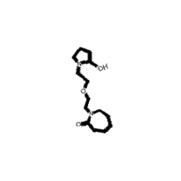 O=C1CCCCCN1CCOCCN1CCCC1O